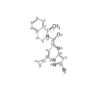 C[C@@H]1c2ccccc2CCN1C(=O)c1cc(C2CC2)n2nc(Br)cc2n1